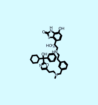 CN(CCc1cnc(C(O)(c2ccccc2)C2CCCCC2)o1)Cc1cccc(CCNC[C@H](O)c2ccc(O)c3[nH]c(=O)sc23)c1